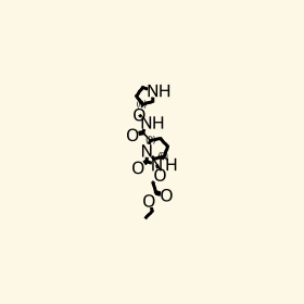 CCOC(=O)CON1C(=O)N2C[C@H]1CC[C@@H]2C(=O)NO[C@@H]1CCNC1